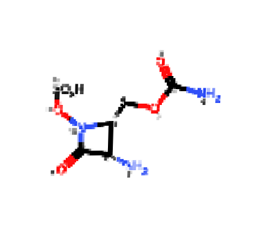 NC(=O)OC[C@@H]1[C@H](N)C(=O)N1OS(=O)(=O)O